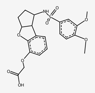 COc1ccc(S(=O)(=O)NC2CCC3Oc4c(OCC(=O)O)cccc4C23)cc1OC